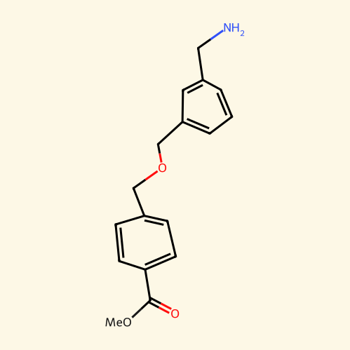 COC(=O)c1ccc(COCc2cccc(CN)c2)cc1